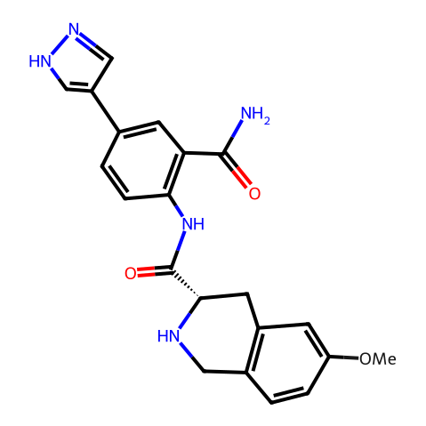 COc1ccc2c(c1)C[C@@H](C(=O)Nc1ccc(-c3cn[nH]c3)cc1C(N)=O)NC2